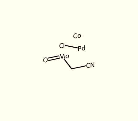 N#C[CH2][Mo]=[O].[Cl][Pd].[Co]